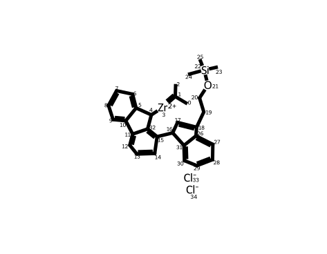 C[C](C)=[Zr+2][CH]1c2ccccc2-c2cccc(C3C=C(CCO[Si](C)(C)C)c4ccccc43)c21.[Cl-].[Cl-]